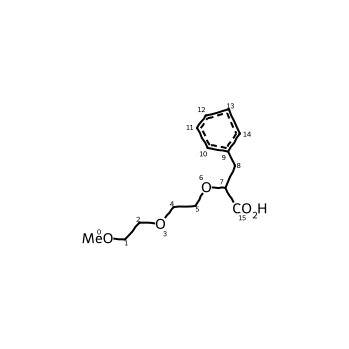 COCCOCCOC(Cc1ccccc1)C(=O)O